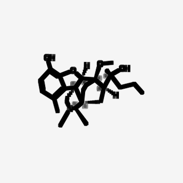 CCC[C@@](C)(O)[C@H]1C[C@@]23CC[C@]1(OC)[C@@H]1Oc4c(O)ccc(C)c4[C@@]12CCN(C)[C@@H]3C